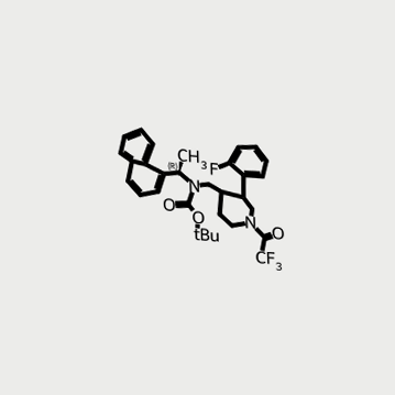 C[C@H](c1cccc2ccccc12)N(CC1CCN(C(=O)C(F)(F)F)CC1c1ccccc1F)C(=O)OC(C)(C)C